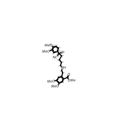 COC(=O)c1cc(OC)c(OC)cc1CCNCCCCC(C#N)(c1ccc(OC)c(OC)c1)C(C)C